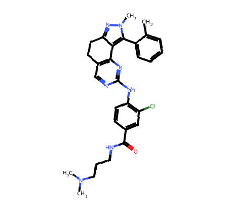 Cc1ccccc1-c1c2c(nn1C)CCc1cnc(Nc3ccc(C(=O)NCCCN(C)C)cc3Cl)nc1-2